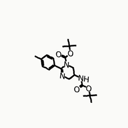 Cc1ccc(C2=NCC(NC(=O)OC(C)(C)C)CN2C(=O)OC(C)(C)C)cc1